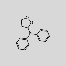 c1ccc(P(c2ccccc2)C2CCOO2)cc1